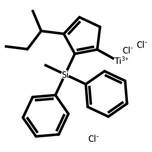 CCC(C)C1=CC[C]([Ti+3])=C1[Si](C)(c1ccccc1)c1ccccc1.[Cl-].[Cl-].[Cl-]